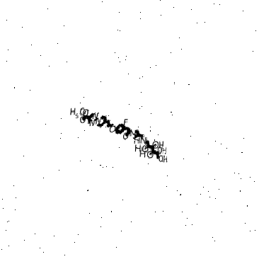 COC(=O)c1cnc(N2CCC(CCCOc3ccc(CC(=O)N4CC(CNC[C@H](O)[C@@H](O)[C@H](O)[C@H](O)CO)C4)c(F)c3)CC2)nc1